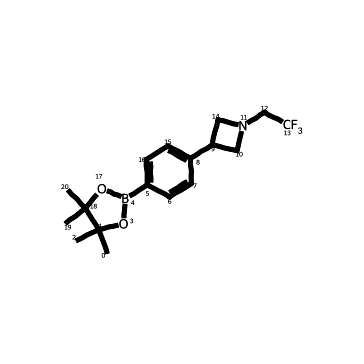 CC1(C)OB(c2ccc(C3CN(CC(F)(F)F)C3)cc2)OC1(C)C